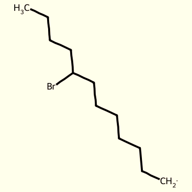 [CH2]CCCCCCC(Br)CCCC